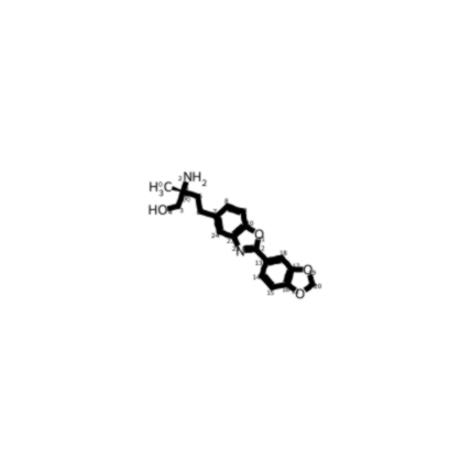 C[C@](N)(CO)CCc1ccc2oc(-c3ccc4c(c3)OCO4)nc2c1